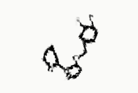 Fc1ccc(COc2ccnn2-c2ccccn2)cc1F